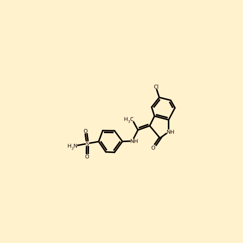 C/C(Nc1ccc(S(N)(=O)=O)cc1)=C1/C(=O)Nc2ccc(Cl)cc21